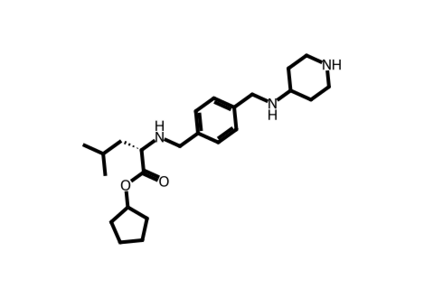 CC(C)C[C@H](NCc1ccc(CNC2CCNCC2)cc1)C(=O)OC1CCCC1